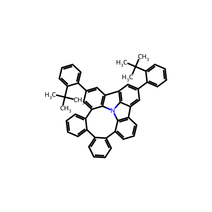 CC(C)(C)c1ccccc1-c1cc2c3ccccc3c3ccccc3c3cccc4c5cc(-c6ccccc6C(C)(C)C)cc6c(c1)c2n(c34)c56